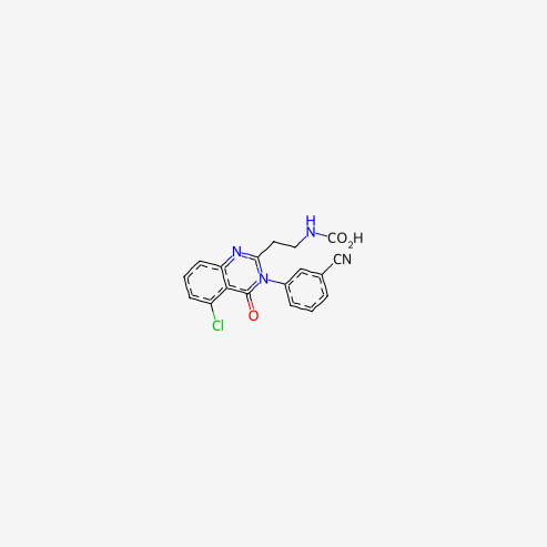 N#Cc1cccc(-n2c(CCNC(=O)O)nc3cccc(Cl)c3c2=O)c1